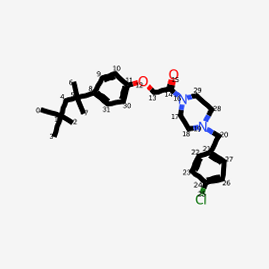 CC(C)(C)CC(C)(C)c1ccc(OCC(=O)N2CCN(Cc3ccc(Cl)cc3)CC2)cc1